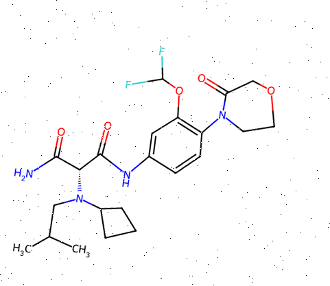 CC(C)CN(C1CCC1)[C@H](C(N)=O)C(=O)Nc1ccc(N2CCOCC2=O)c(OC(F)F)c1